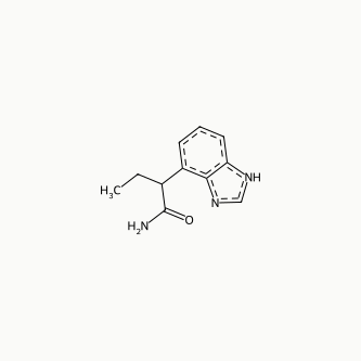 CCC(C(N)=O)c1cccc2[nH]cnc12